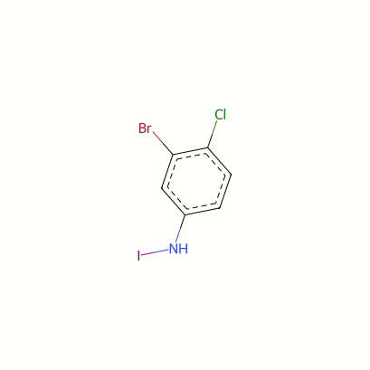 Clc1ccc(NI)cc1Br